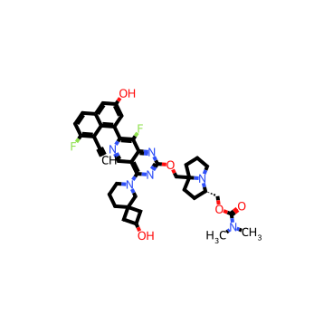 C#Cc1c(F)ccc2cc(O)cc(-c3ncc4c(N5CCCC6(CC(O)C6)C5)nc(OCC56CCCN5[C@H](COC(=O)N(C)C)CC6)nc4c3F)c12